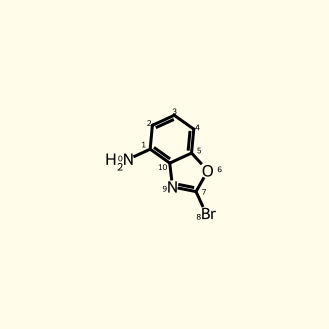 Nc1cccc2oc(Br)nc12